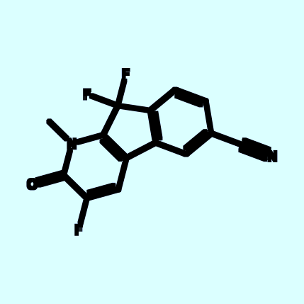 Cn1c2c(cc(F)c1=O)-c1cc(C#N)ccc1C2(F)F